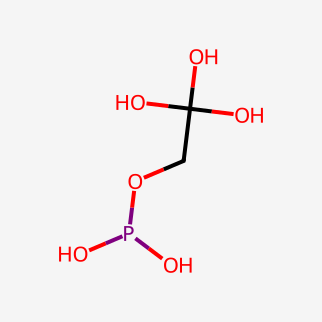 OP(O)OCC(O)(O)O